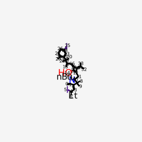 C=C1/C(=C\C(I)CC)C(C)(C)C(CC2=C(O)/C(=C\C(=C)C(C)(C)c3cc(I)ccc3C)C2=C(C)C)N1CCCC